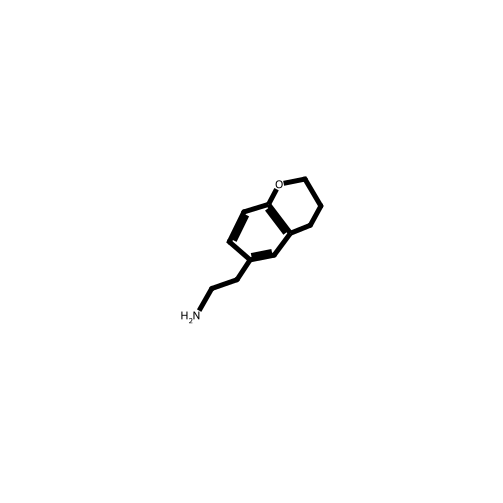 NCCc1ccc2c(c1)CCCO2